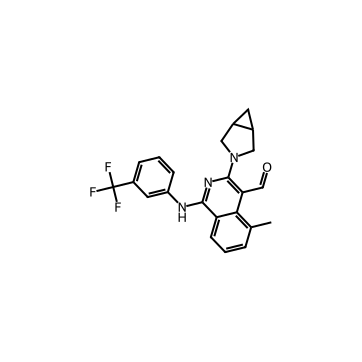 Cc1cccc2c(Nc3cccc(C(F)(F)F)c3)nc(N3CC4CC4C3)c(C=O)c12